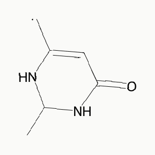 [CH2]C1=CC(=O)NC(C)N1